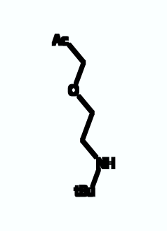 CC(=O)COCCNC(C)(C)C